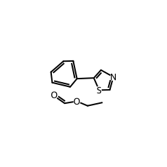 CCOC=O.c1ccc(-c2cncs2)cc1